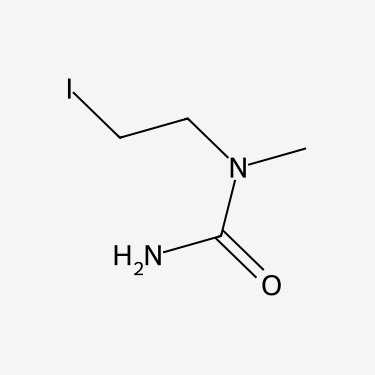 CN(CCI)C(N)=O